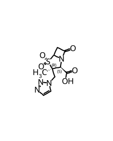 C[C@@]1(Cn2ccnn2)[C@H](C(=O)O)N2C(=O)CC2S1(=O)=O